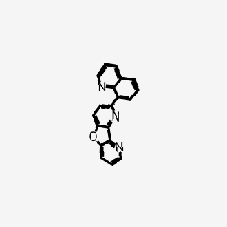 c1cnc2c(-c3ccc4oc5cccnc5c4n3)cccc2c1